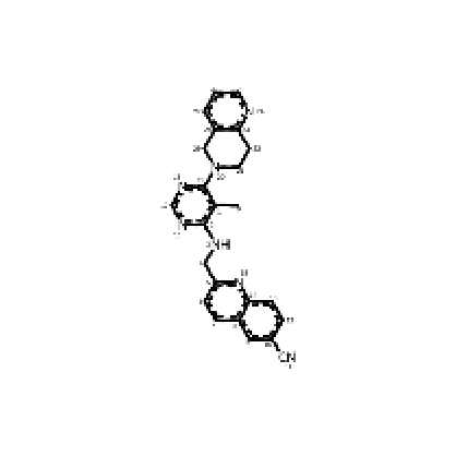 Cc1c(NCc2ccc3cc(C#N)ccc3n2)ncnc1N1CCc2ncccc2C1